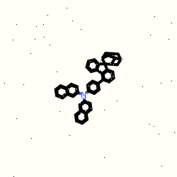 c1ccc2c(c1)-c1c(-c3ccc(N(c4ccc5ccccc5c4)c4ccc5ccccc5c4)cc3)cccc1C21C2CC3CC(C2)CC1C3